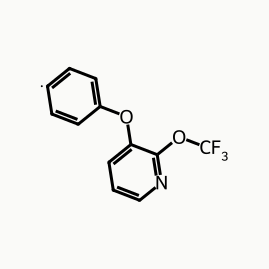 FC(F)(F)Oc1ncccc1Oc1cc[c]cc1